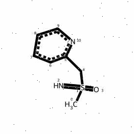 CS(=N)(=O)Cc1ccccn1